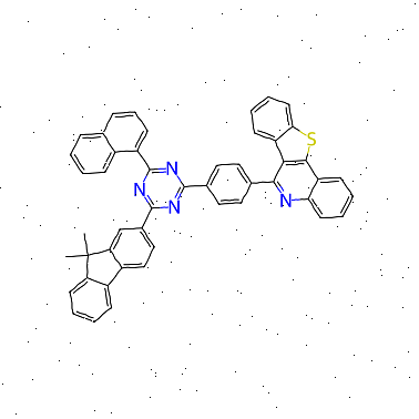 CC1(C)c2ccccc2-c2ccc(-c3nc(-c4ccc(-c5nc6ccccc6c6sc7ccccc7c56)cc4)nc(-c4cccc5ccccc45)n3)cc21